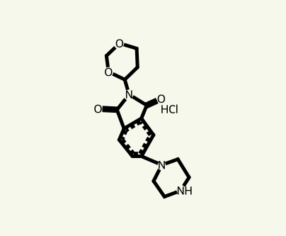 Cl.O=C1c2ccc(N3CCNCC3)cc2C(=O)N1C1CCOCO1